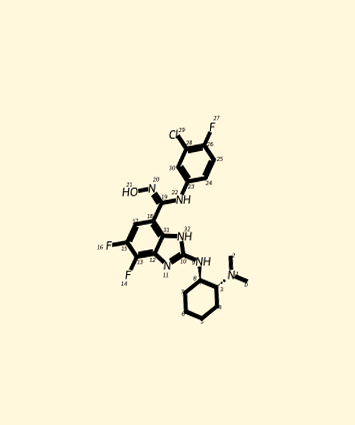 CN(C)[C@@H]1CCCC[C@H]1Nc1nc2c(F)c(F)cc(/C(=N\O)Nc3ccc(F)c(Cl)c3)c2[nH]1